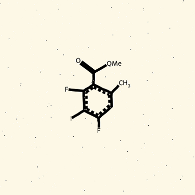 COC(=O)c1c(C)cc(F)c(I)c1F